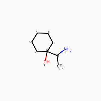 NC(C(F)(F)F)C1(O)CCCCC1